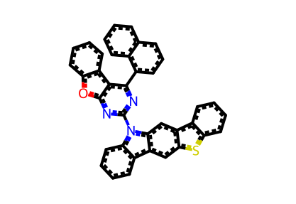 c1ccc2c(-c3nc(-n4c5ccccc5c5cc6sc7ccccc7c6cc54)nc4oc5ccccc5c34)cccc2c1